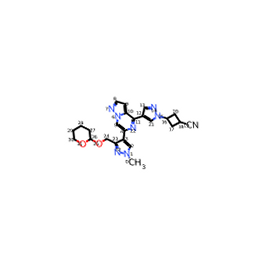 Cn1cc(-c2cn3nccc3c(-c3cnn(C4CC(C#N)C4)c3)n2)c(COC2CCCCO2)n1